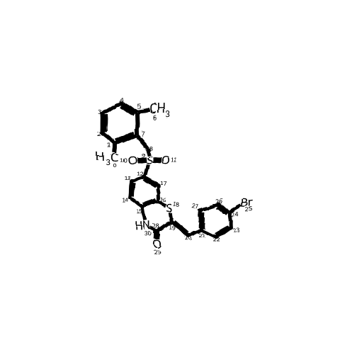 Cc1cccc(C)c1CS(=O)(=O)c1ccc2c(c1)SC(=Cc1ccc(Br)cc1)C(=O)N2